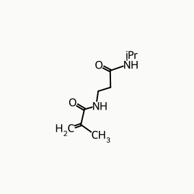 C=C(C)C(=O)NCCC(=O)NC(C)C